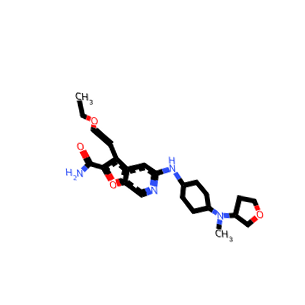 CCO/C=C/c1c(C(N)=O)oc2cnc(NC3CCC(N(C)C4CCOC4)CC3)cc12